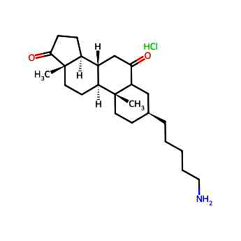 C[C@]12CC[C@H](CCCCCN)CC1C(=O)C[C@@H]1[C@@H]2CC[C@]2(C)C(=O)CC[C@@H]12.Cl